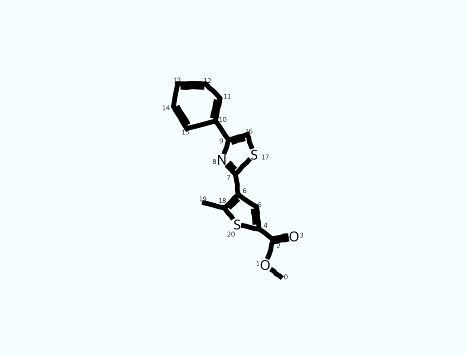 COC(=O)c1cc(-c2nc(-c3ccccc3)cs2)c(C)s1